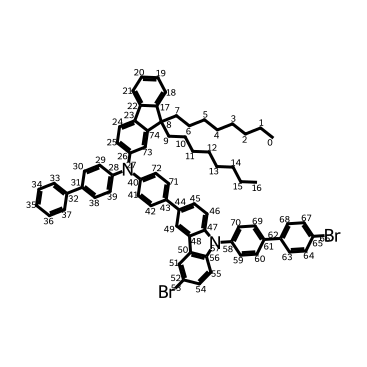 CCCCCCCCC1(CCCCCCCC)c2ccccc2-c2ccc(N(c3ccc(-c4ccccc4)cc3)c3ccc(-c4ccc5c(c4)c4cc(Br)ccc4n5-c4ccc(-c5ccc(Br)cc5)cc4)cc3)cc21